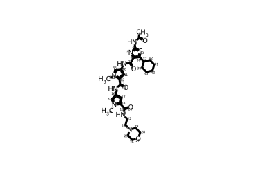 CC(=O)Nc1nc(C(=O)Nc2cc(C(=O)Nc3cc(C(=O)NCCN4CCOCC4)n(C)c3)n(C)c2)c(C2CCCCC2)s1